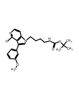 COc1cccc(-c2cn(CCCCNC(=O)OC(C)(C)C)c3ccnc(Cl)c23)c1